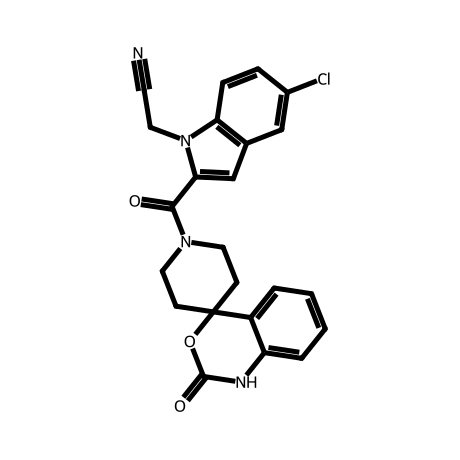 N#CCn1c(C(=O)N2CCC3(CC2)OC(=O)Nc2ccccc23)cc2cc(Cl)ccc21